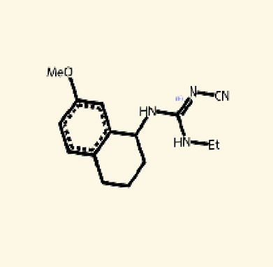 CCN/C(=N\C#N)NC1CCCc2ccc(OC)cc21